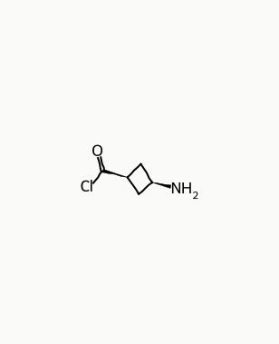 N[C@H]1C[C@@H](C(=O)Cl)C1